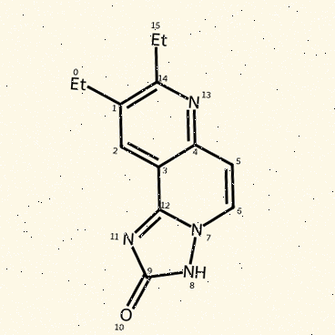 CCc1cc2c(ccn3[nH]c(=O)nc23)nc1CC